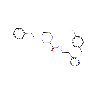 N#Cc1ccc(Cn2cncc2CCNC(=O)C2CCCN(CCc3ccccc3)C2)cc1